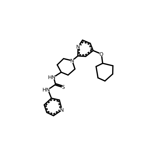 S=C(Nc1cccnc1)NC1CCN(c2cc(OC3CCCCC3)ccn2)CC1